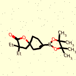 CCC1(CC)CC2(CC=C(B3OC(C)(C)C(C)(C)O3)CC2)OC1=O